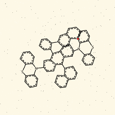 c1ccc2c(c1)Sc1ccccc1N2c1ccc2c(-c3cccc4ccccc34)c3cc(N4c5ccccc5Sc5ccccc54)ccc3c(-c3ccccc3-c3ccc4ccccc4c3)c2c1